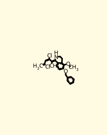 C=C(Cl)/C=C(Cl)\C(C)=C1/NCCc2c1ccc(OCc1ccccc1)c2OC